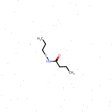 CC[CH2][Y][NH]C(=O)CCC